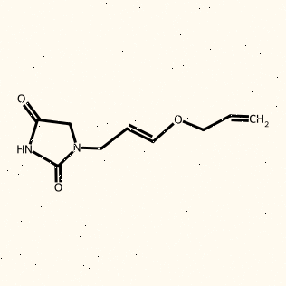 C=CCOC=CCN1CC(=O)NC1=O